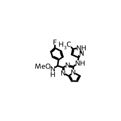 CONC(c1ccc(F)cc1)c1nc(Nc2cc(C)[nH]n2)n2cccc2n1